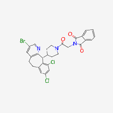 O=C(CN1C(=O)c2ccccc2C1=O)N1CCC(C2c3ncc(Br)cc3CCc3cc(Cl)cc(Cl)c32)CC1